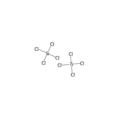 Cl[Si](Cl)(Cl)Cl.[Cl][Ti]([Cl])([Cl])[Cl]